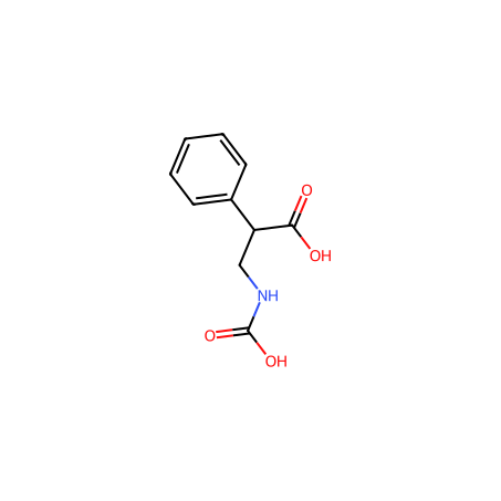 O=C(O)NCC(C(=O)O)c1ccccc1